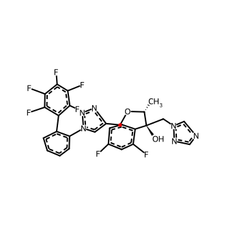 C[C@@H](OCc1cn(-c2ccccc2-c2c(F)c(F)c(F)c(F)c2F)nn1)[C@](O)(Cn1cncn1)c1ccc(F)cc1F